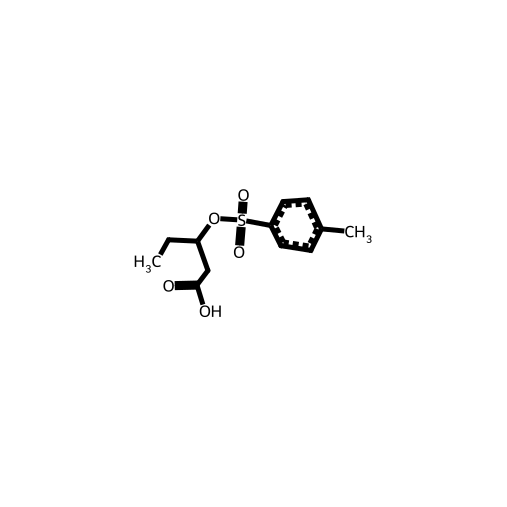 CCC(CC(=O)O)OS(=O)(=O)c1ccc(C)cc1